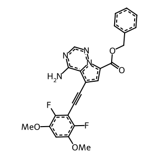 COc1cc(OC)c(F)c(C#Cc2cc(C(=O)OCc3ccccc3)n3ncnc(N)c23)c1F